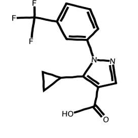 O=C(O)c1cnn(-c2cccc(C(F)(F)F)c2)c1C1CC1